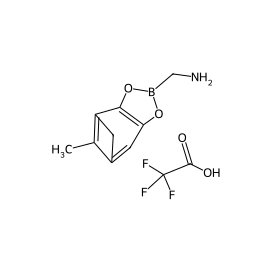 Cc1c2cc3c(c1C2)OB(CN)O3.O=C(O)C(F)(F)F